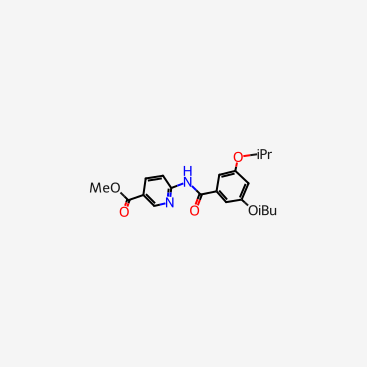 COC(=O)c1ccc(NC(=O)c2cc(OCC(C)C)cc(OC(C)C)c2)nc1